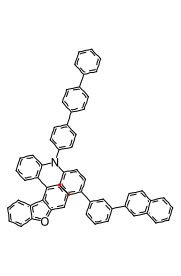 c1ccc(-c2ccc(-c3ccc(N(c4ccc(-c5cccc(-c6ccc7ccccc7c6)c5)cc4)c4ccccc4-c4cccc5oc6ccccc6c45)cc3)cc2)cc1